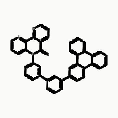 O=c1c2cccnc2c2ncccc2n1-c1cccc(-c2cccc(-c3ccc4c5ccccc5c5ccccc5c4c3)c2)c1